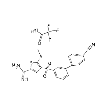 CSc1sc(C(=N)N)cc1S(=O)(=O)c1cccc(-c2ccc(C#N)cc2)c1.O=C(O)C(F)(F)F